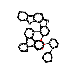 c1ccc(-c2ccccc2-c2ccccc2-c2ccc3c(c2-c2cccc4c5ccccc5c5ccccc5c24)-c2c4c(ccc2=N3)=c2ccccc2=N4)cc1